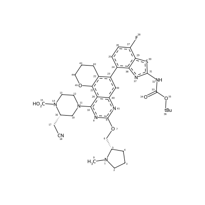 CN1CCC[C@H]1COc1nc(N2CCN(C(=O)O)[C@@H](CC#N)C2)c2c3c(c(-c4ccc(F)c5sc(NC(=O)OC(C)(C)C)nc45)cc2n1)CCCO3